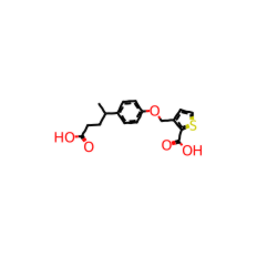 CC(CCC(=O)O)c1ccc(OCc2ccsc2C(=O)O)cc1